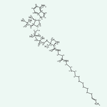 C/C=C/CCCCCCCCCSCCNC(=O)CCNC(=O)[C@H](O)C(C)(C)COP(=O)(O)OP(=O)(O)OC[C@H]1O[C@@H](n2cnc3c(N)ncnc32)[C@H](O)[C@@H]1OP(=O)(O)O